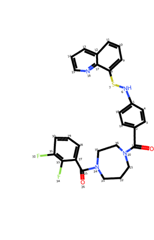 O=C(c1ccc(NSc2cccc3cccnc23)cc1)N1CCCN(C(=O)c2cccc(F)c2F)CC1